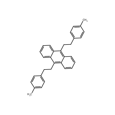 Cc1ccc(CCc2c3ccccc3c(CCc3ccc(C)cc3)c3ccccc23)cc1